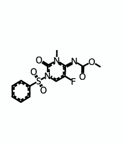 COC(=O)/N=c1\c(F)cn(S(=O)(=O)c2ccccc2)c(=O)n1C